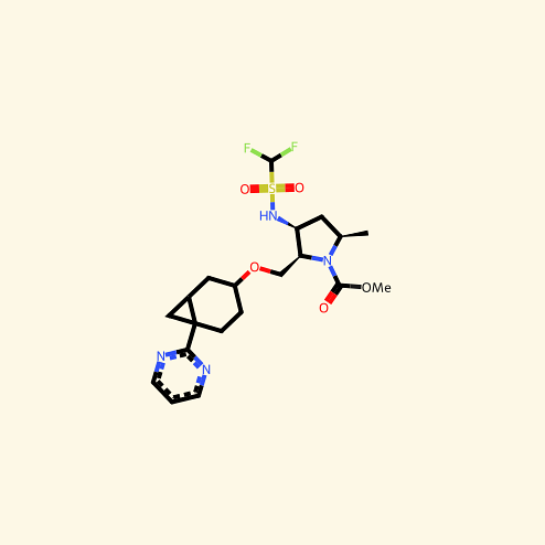 COC(=O)N1[C@H](C)C[C@H](NS(=O)(=O)C(F)F)[C@@H]1COC1CCC2(c3ncccn3)CC2C1